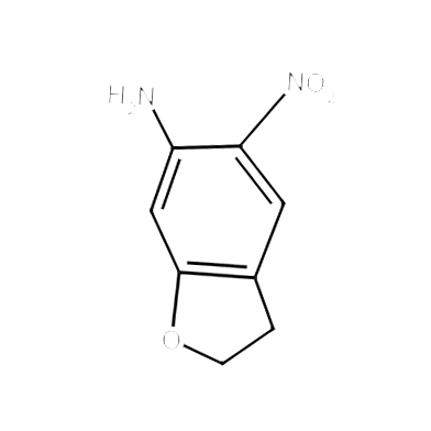 Nc1cc2c(cc1[N+](=O)[O-])CCO2